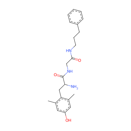 Cc1cc(O)cc(C)c1CC(N)C(=O)NCC(=O)NCCCc1ccccc1